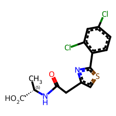 C[C@H](NC(=O)Cc1csc(-c2ccc(Cl)cc2Cl)n1)C(=O)O